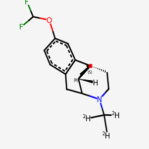 [2H]C([2H])([2H])N1CC[C@@]23CCCC[C@H]2C1Cc1ccc(OC(F)F)cc13